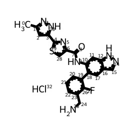 Cc1cc(-c2nc(C(=O)Nc3cc4[nH]ncc4cc3-c3cccc(CN)c3F)cs2)[nH]n1.Cl